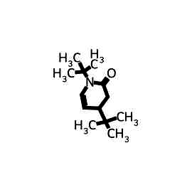 CC(C)(C)C1C=CN(C(C)(C)C)C(=O)C1